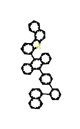 c1ccc(-c2cccc3ccccc23)c(-c2ccc(-c3c4ccccc4c(-c4cccc5c4sc4ccc6ccccc6c45)c4ccccc34)cc2)c1